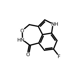 O=C1NOCc2c[nH]c3cc(F)cc1c23